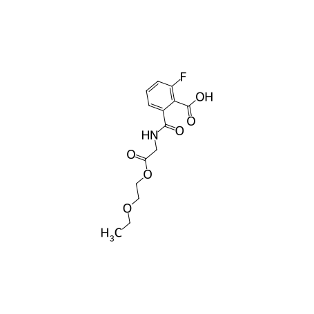 CCOCCOC(=O)CNC(=O)c1cccc(F)c1C(=O)O